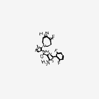 Cn1ncc(NC(=O)c2nc(-c3c(F)cccc3F)sc2N)c1N1CC[C@H](N)[C@@H](F)CC1